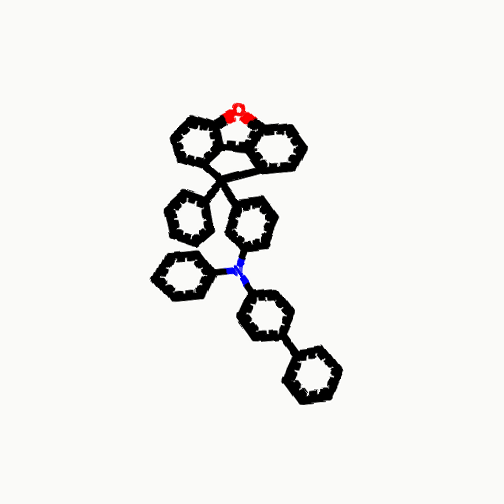 c1ccc(-c2ccc(N(c3ccccc3)c3cccc(C4(c5ccccc5)c5cccc6oc7cccc4c7c56)c3)cc2)cc1